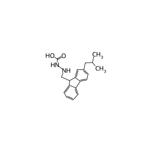 CC(C)Cc1ccc2c(c1)C(CNNC(=O)O)c1ccccc1-2